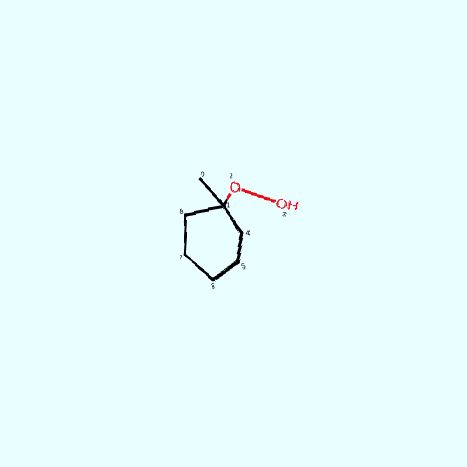 CC1(OO)CCCCC1